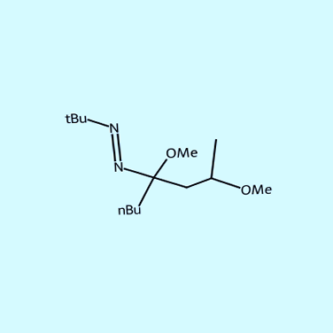 CCCCC(CC(C)OC)(N=NC(C)(C)C)OC